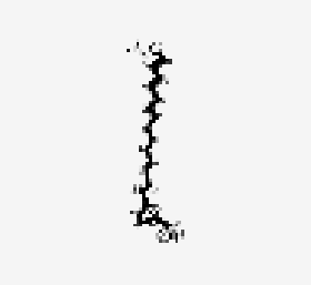 CCCCCCCCCCCCCCCC1CCC(CO)O1